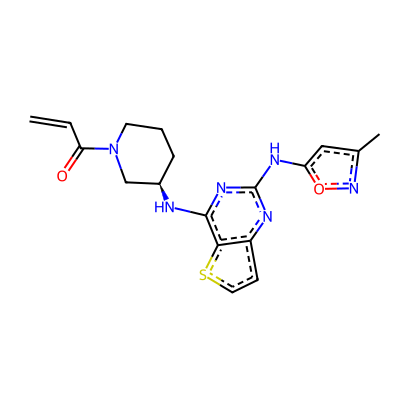 C=CC(=O)N1CCC[C@@H](Nc2nc(Nc3cc(C)no3)nc3ccsc23)C1